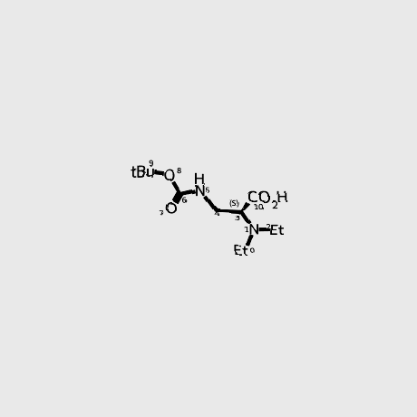 CCN(CC)[C@@H](CNC(=O)OC(C)(C)C)C(=O)O